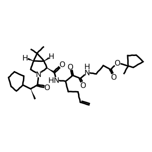 C=CCCC(NC(=O)[C@@H]1[C@@H]2[C@H](CN1C(=O)[C@@H](C)C1CCCCC1)C2(C)C)C(=O)C(=O)NCCC(=O)OC1(C)CCCC1